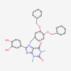 Cn1c(=O)c2c(nc(-c3ccc(O)c(O)c3)n2Cc2ccc(OCc3ccccc3)c(OCc3ccccc3)c2)n(C)c1=O